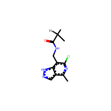 CCC(C)(C)C(=O)NCc1c(Cl)nc(C)c2cn[nH]c12